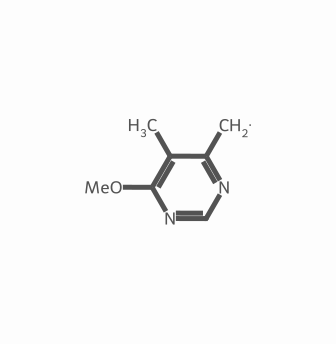 [CH2]c1ncnc(OC)c1C